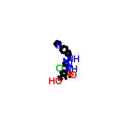 Cc1c(C(C)(C)O)ccc(Nc2nc(Nc3ccc4c(c3)CC[C@@H](N3CCCC3)CC4)ncc2Cl)c1P(C)(C)=O